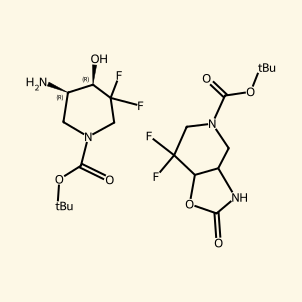 CC(C)(C)OC(=O)N1CC2NC(=O)OC2C(F)(F)C1.CC(C)(C)OC(=O)N1C[C@@H](N)[C@@H](O)C(F)(F)C1